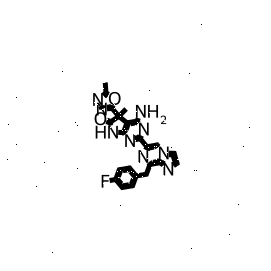 Cc1nnc(C2(C)C(=O)Nc3nc(-c4cn5ccnc5c(Cc5ccc(F)cc5)n4)nc(N)c32)o1